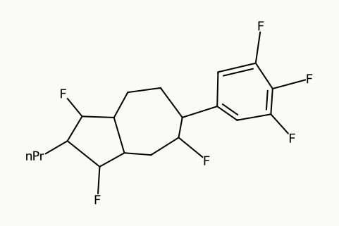 CCCC1C(F)C2CCC(c3cc(F)c(F)c(F)c3)C(F)CC2C1F